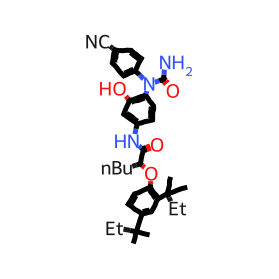 CCCCC(Oc1ccc(C(C)(C)CC)cc1C(C)(C)CC)C(=O)Nc1ccc(N(C(N)=O)c2ccc(C#N)cc2)c(O)c1